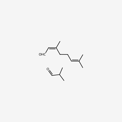 CC(C)=CCCC(C)=CC=O.CC(C)C=O